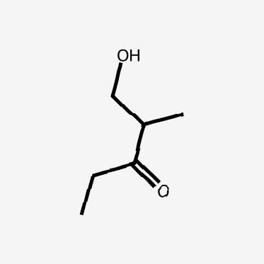 CCC(=O)C(C)CO